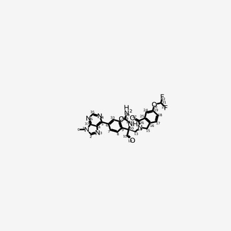 Cn1cnc2c(-c3ccc([C@](C=O)(CN4Cc5ccc(OC(F)F)cc5C4=O)NC(N)=O)cc3)ncnc21